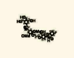 COc1cc(C2=NOC(c3cc(CO)c(CO)c(CO)c3)C2)cc(OC)c1OCCCOc1ccc(C2NC(=O)c3cc(C)ccc3N2)cc1CO